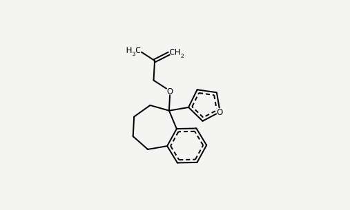 C=C(C)COC1(c2ccoc2)CCCCc2ccccc21